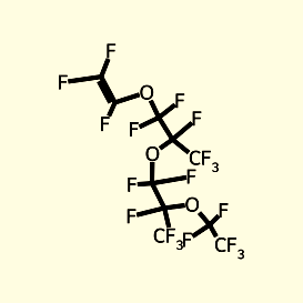 FC(F)=C(F)OC(F)(F)C(F)(OC(F)(F)C(F)(OC(F)(F)C(F)(F)F)C(F)(F)F)C(F)(F)F